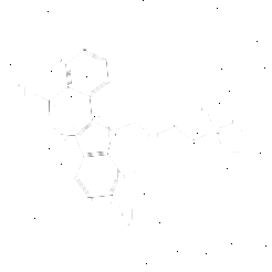 C[Si](C)(C)CCOCn1c(-c2ccccc2C(F)F)c(F)c2ccc(Cl)nc21